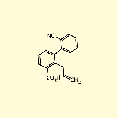 C=CCc1c(C(=O)O)cccc1-c1ccccc1C#N